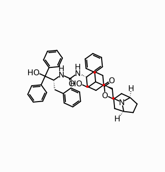 O=C(N[C@H](Cc1ccccc1)C(O)(c1ccccc1)c1ccccc1)N[C@H]1CC[C@H](CCN2[C@@H]3CC[C@H]2CC(OC(=O)C(CO)c2ccccc2)C3)CC1